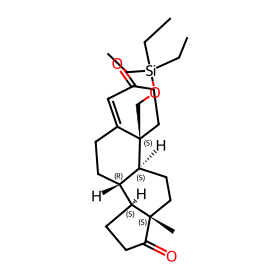 CC[Si](CC)(CC)OC[C@]12CCC(=O)C=C1CC[C@@H]1[C@@H]2CC[C@]2(C)C(=O)CC[C@@H]12